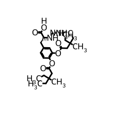 CCC(C)(CC)CC(=O)Oc1ccc(C[C@H](NN=N)C(=O)O)cc1OC(=O)CC(C)(CC)CC